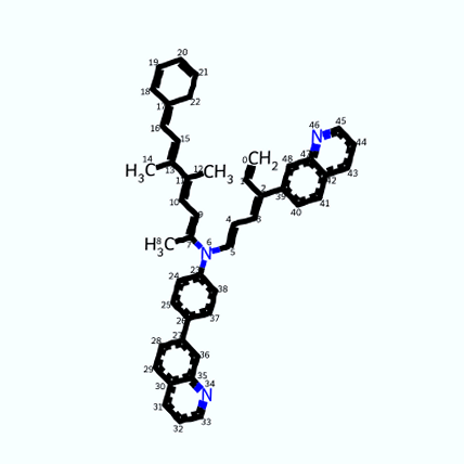 C=C/C(=C\C=C\N(/C(C)=C/C=C(C)/C(C)=C/C=C1/C=CC=CC1)c1ccc(-c2ccc3cccnc3c2)cc1)c1ccc2cccnc2c1